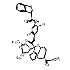 C[C@@H]1CN(C(O[C@H]2CC[C@H](C(=O)O)CC2)(C(=O)Cc2cc(Cl)c(NC(=O)c3csc4ccccc34)cc2F)N2CCCC2)C[C@H](C)O1